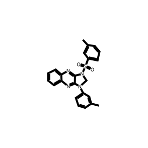 Cc1cccc(N2CN(S(=O)(=O)c3cccc(C)c3)c3nc4ccccc4nc32)c1